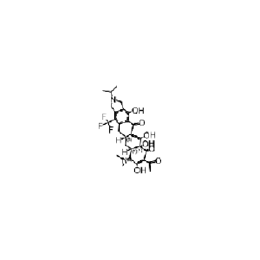 CC(=O)C1=C(O)[C@@H](N(C)C)[C@@H]2C[C@@H]3Cc4c(c(O)c5c(c4C(F)(F)F)CN(C(C)C)C5)C(=O)C3=C(O)[C@]2(O)C1=O